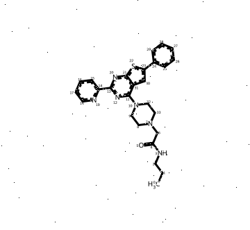 CCCNC(=O)CN1CCN(c2nc(-c3ccccn3)nc3sc(-c4ccccc4)cc23)CC1